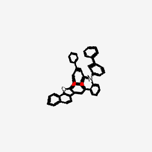 c1ccc(-c2cccc(N(c3cccc(-c4ccccc4)c3)c3ccccc3-c3ccc4oc5c6ccccc6ccc5c4c3)c2)cc1